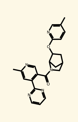 Cc1ccc(OC2CC3CC2N(C(=O)c2cnc(C)cc2-c2ncccn2)C3)nc1